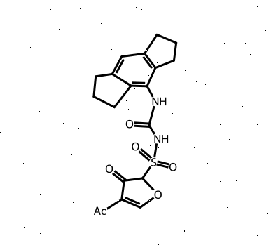 CC(=O)C1=COC(S(=O)(=O)NC(=O)Nc2c3c(cc4c2CCC4)CCC3)C1=O